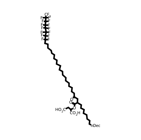 CCCCCCCCCCCCCCCCCCC(CC(=O)CCCCCCCCCCCCCCCCCCCCC(F)(F)C(F)(F)C(F)(F)C(F)(F)C(F)(F)C(F)(F)C(F)(F)C(F)(F)F)C(=O)OC(CC(=O)O)C(=O)O